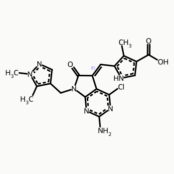 Cc1c(C(=O)O)c[nH]c1/C=C1/C(=O)N(Cc2cnn(C)c2C)c2nc(N)nc(Cl)c21